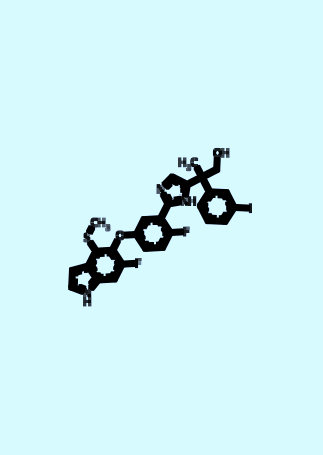 CSc1c(Oc2ccc(F)c(-c3ncc(C(C)(CO)c4cccc(I)c4)[nH]3)c2)c(F)cc2[nH]ccc12